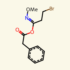 CON=C(CCBr)OC(=O)Cc1ccccc1